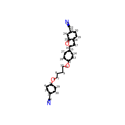 N#Cc1ccc(OCCCCOc2ccc(-c3cc4ccc(C#N)cc4o3)cc2)cc1